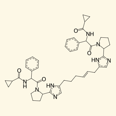 O=C(NC(C(=O)N1CCCC1c1ncc(CC=CCCCc2cnc(C3CCCN3C(=O)C(NC(=O)C3CC3)c3ccccc3)[nH]2)[nH]1)c1ccccc1)C1CC1